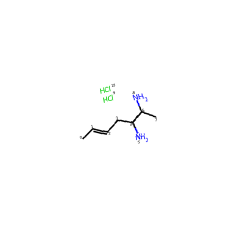 CC=CCC(N)C(C)N.Cl.Cl